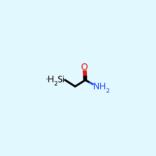 NC(=O)C[SiH2]